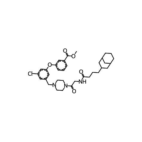 COC(=O)c1cccc(Oc2cc(Cl)cc(CN3CCN(C(=O)CNC(=O)CCCC4CC5CCCC(C4)C5)CC3)c2)c1